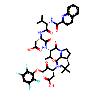 CC(C)[C@H](NC(=O)c1ccc2ccccc2n1)C(=O)N[C@@H](CC(=O)O)C(=O)N[C@H](C(=O)N1CC[C@@H](CC(C)(C)C)C1C(=O)N[C@@H](CC(=O)O)C(=O)COc1c(F)c(F)cc(F)c1F)C(C)C